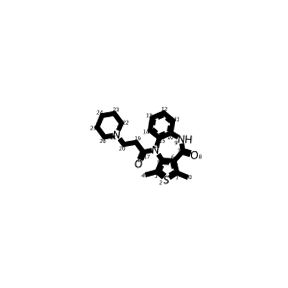 Cc1sc(C)c2c1C(=O)Nc1ccccc1N2C(=O)CCN1CCCCC1